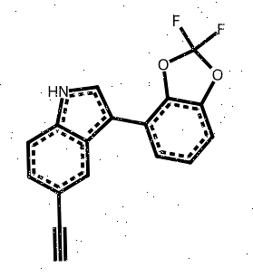 C#Cc1ccc2[nH]cc(-c3cccc4c3OC(F)(F)O4)c2c1